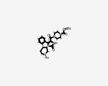 CC(=O)N1CCCC(n2c(-c3ccccc3)c(C(=O)N3CCN(C(=O)OC(C)(C)C)CC3)[nH]c2=O)C1